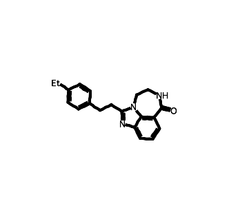 CCc1ccc(CCc2nc3cccc4c3n2CCNC4=O)cc1